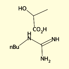 CC(O)C(=O)O.CCCCNC(=N)N